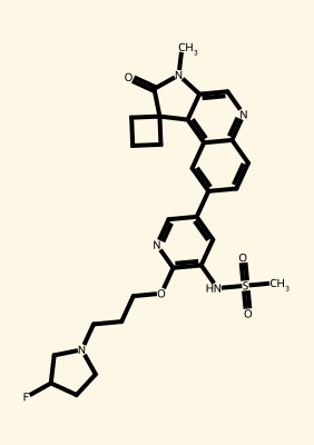 CN1C(=O)C2(CCC2)c2c1cnc1ccc(-c3cnc(OCCCN4CCC(F)C4)c(NS(C)(=O)=O)c3)cc21